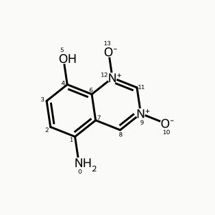 Nc1ccc(O)c2c1c[n+]([O-])c[n+]2[O-]